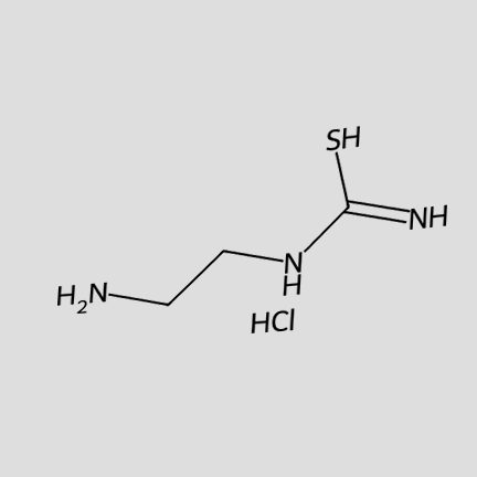 Cl.N=C(S)NCCN